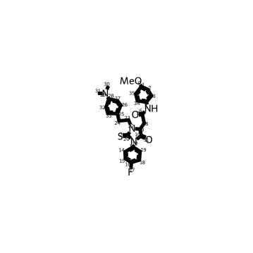 COc1ccc(NC(=O)CC2C(=O)N(c3ccc(F)cc3)C(=S)N2CCc2ccc(N(C)C)cc2)cc1